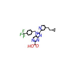 O=C(O)c1ncc2c(n1)nc(-c1cc(CCC3CC3)ccn1)n2Cc1ccc(C(F)(F)F)cc1